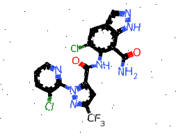 NC(=O)c1c(NC(=O)c2cc(C(F)(F)F)nn2-c2ncccc2Cl)c(Cl)cc2cn[nH]c12